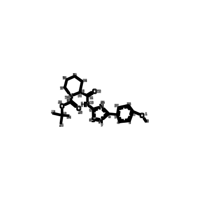 COc1ccc(-c2nsc(NC(=O)[C@@H]3CCCCN3C(=O)OC(C)(C)C)n2)cc1